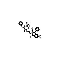 COc1ccc2c(=O)n(CCNC(CCCc3ccccc3)OC(=O)C(F)(F)F)c(C#N)c(-c3ccccc3)c2c1